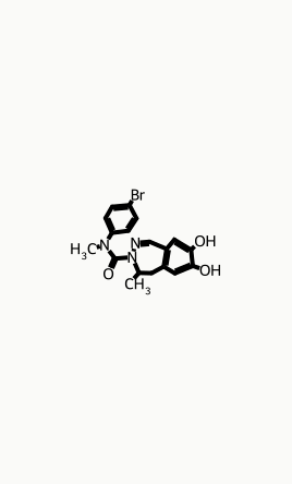 CC1Cc2cc(O)c(O)cc2C=NN1C(=O)N(C)c1ccc(Br)cc1